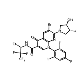 CCC(NC(=O)c1cn(-c2c(F)cc(F)cc2F)c2nc(N3C[C@@H](O)[C@H](I)C3)c(Br)cc2c1=O)C(F)(F)C(F)(F)F